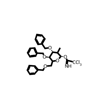 CC1[C@H](OC(=N)C(Cl)(Cl)Cl)OC(COCc2ccccc2)[C@@H](OCc2ccccc2)[C@@H]1OCc1ccccc1